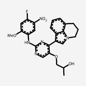 COc1cc(F)c([N+](=O)[O-])cc1Nc1ncc(OCC(C)O)c(-c2cn3c4c(cccc24)CCC3)n1